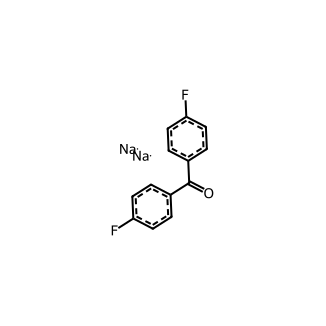 O=C(c1ccc(F)cc1)c1ccc(F)cc1.[Na].[Na]